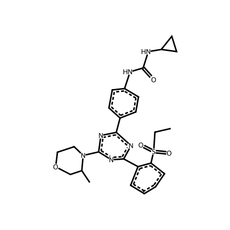 CCS(=O)(=O)c1ccccc1-c1nc(-c2ccc(NC(=O)NC3CC3)cc2)nc(N2CCOCC2C)n1